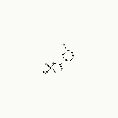 Nc1cccc(C(=O)NS(N)(=O)=O)c1